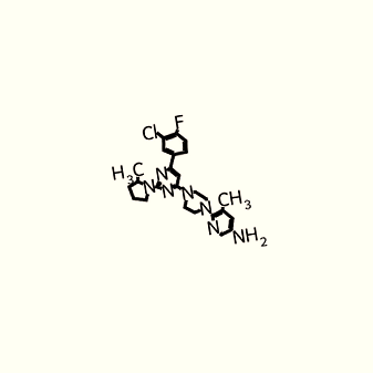 Cc1cc(N)cnc1N1CCN(c2cc(-c3ccc(F)c(Cl)c3)nc(N3CCCC3C)n2)CC1